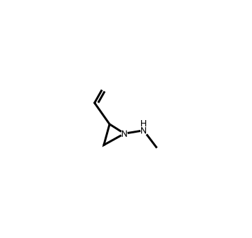 C=CC1CN1NC